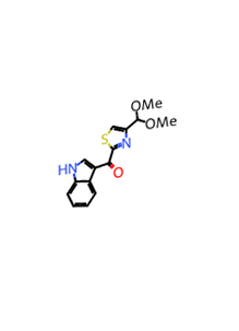 COC(OC)c1csc(C(=O)c2c[nH]c3ccccc23)n1